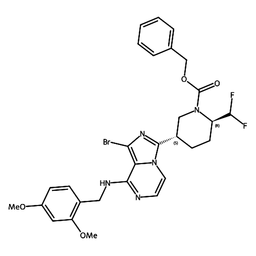 COc1ccc(CNc2nccn3c([C@H]4CC[C@H](C(F)F)N(C(=O)OCc5ccccc5)C4)nc(Br)c23)c(OC)c1